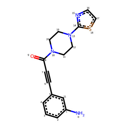 Nc1cccc(C#CC(=O)N2CCN(c3nccs3)CC2)c1